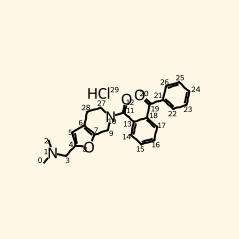 CN(C)Cc1cc2c(o1)CN(C(=O)c1ccccc1C(=O)c1ccccc1)CC2.Cl